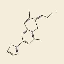 N#CCC=C1Cc2c(Cl)nc(-c3ncc[nH]3)nc2C=C1Cl